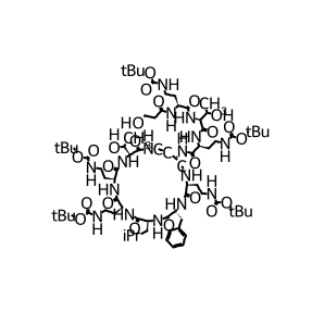 CC(C)C[C@@H]1NC(=O)[C@@H](Cc2ccccc2)NC(=O)[C@H](CCNC(=O)OC(C)(C)C)NC[C@@H](NC(=O)[C@H](CCNC(=O)OC(C)(C)C)NC(=O)[C@@H](NC(=O)[C@H](CCNC(=O)OC(C)(C)C)NC(=O)CCO)C(C)O)CCNC(=O)[C@H](C(C)O)NC(=O)[C@H](CCNC(=O)OC(C)(C)C)NC(=O)[C@H](CCNC(=O)OC(C)(C)C)NC1=O